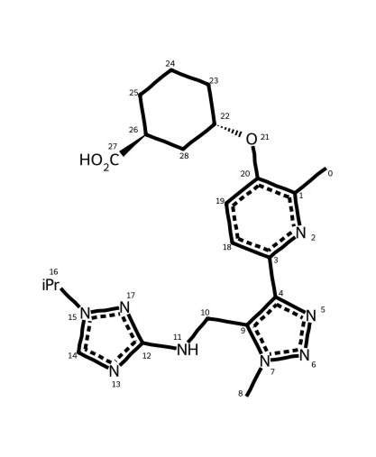 Cc1nc(-c2nnn(C)c2CNc2ncn(C(C)C)n2)ccc1O[C@H]1CCC[C@H](C(=O)O)C1